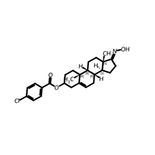 C[C@]12CCC(OC(=O)c3ccc(Cl)cc3)CC1=CC[C@@H]1[C@H]2CC[C@]2(C)C(=NO)CC[C@@H]12